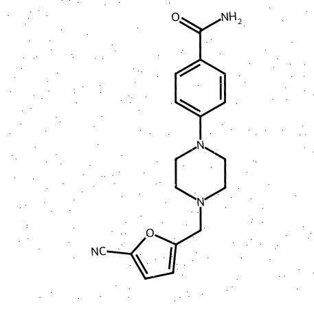 N#Cc1ccc(CN2CCN(c3ccc(C(N)=O)cc3)CC2)o1